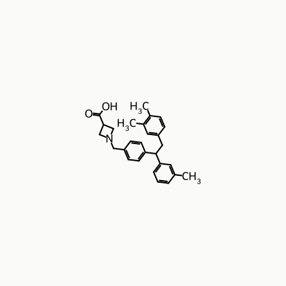 Cc1cccc(C(Cc2ccc(C)c(C)c2)c2ccc(CN3CC(C(=O)O)C3)cc2)c1